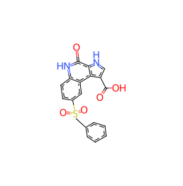 O=C(O)c1c[nH]c2c(=O)[nH]c3ccc(S(=O)(=O)Cc4ccccc4)cc3c12